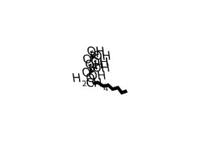 C.CCCCCCCC.O.O=P(O)(O)O.O=P(O)(O)O